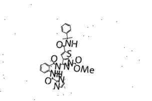 COC(=O)n1nc(NC(=O)c2ccccc2NC(=O)c2nccn2C)c2cc(C(=O)NC(C)(C)c3ccccc3)sc21